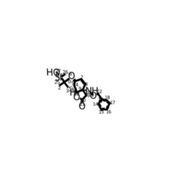 CC(C)(C[C@@H]1C(=O)C=C[C@]2(NOCc3ccccc3)CC(=O)O[C@H]12)[Si](C)(C)O